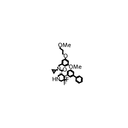 COCCCOc1cc(CN(C(=O)[C@H]2CNCC(F)(F)[C@@H]2c2cccc(-c3ccccc3)c2)C2CC2)cc(OC)c1